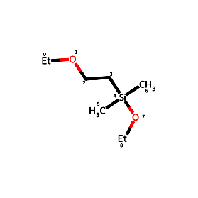 CCOCC[Si](C)(C)OCC